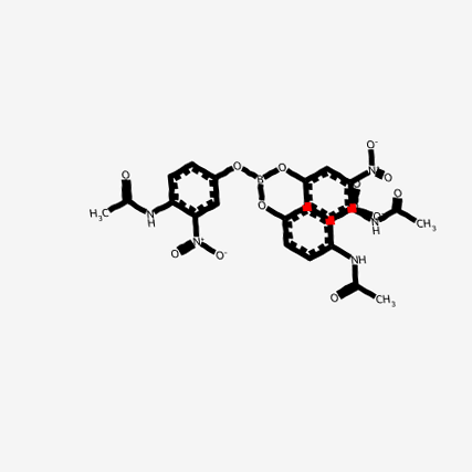 CC(=O)Nc1ccc(OB(Oc2ccc(NC(C)=O)c([N+](=O)[O-])c2)Oc2ccc(NC(C)=O)c([N+](=O)[O-])c2)cc1[N+](=O)[O-]